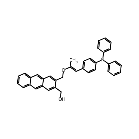 CC(=Cc1ccc(N(c2ccccc2)c2ccccc2)cc1)OCc1cc2cc3ccccc3cc2cc1CO